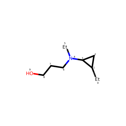 CCC1CC1N(CC)CCCO